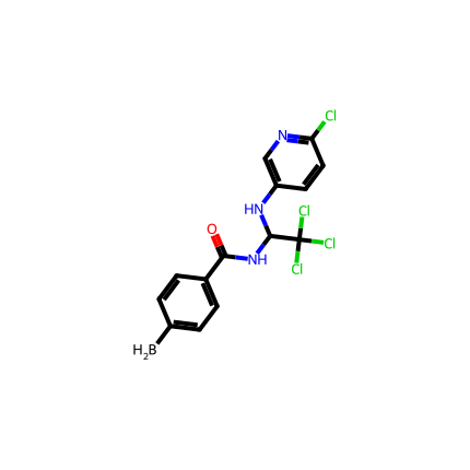 Bc1ccc(C(=O)NC(Nc2ccc(Cl)nc2)C(Cl)(Cl)Cl)cc1